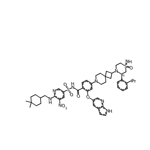 CC(C)c1ccccc1[C@@H]1CS(=N)(=O)CCN1C1CC2(CCN(c3ccc(C(=O)NS(=O)(=O)c4cnc(NCC5CCC(C)(C)CC5)c([N+](=O)[O-])c4)c(Oc4cnc5[nH]ccc5c4)c3)CC2)C1